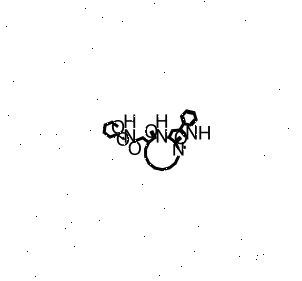 CN1CCCCCCCCC(CC(=O)NO[C@H]2CCCCO2)C(=O)NC(Cc2c[nH]c3ccccc23)C1=O